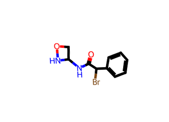 O=C(NC1CON1)C(Br)c1ccccc1